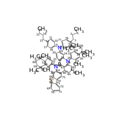 CCCCc1ccc(N(c2ccc(CCCC)cc2)c2ccc3c(c2)N(c2cc4c(cc2C)C(C)(C)CCC4(C)C)c2cc(C)cc4c2B3N(c2ccc3c(c2)C(C)(C)CCC3(C)C)c2cc3sc5ccccc5c3cc2-4)cc1